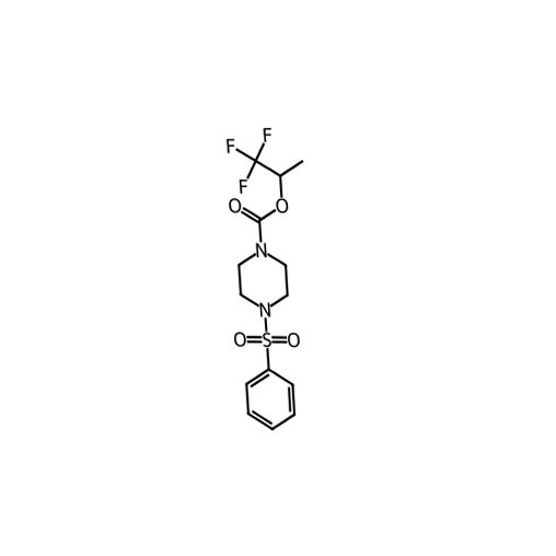 CC(OC(=O)N1CCN(S(=O)(=O)c2ccccc2)CC1)C(F)(F)F